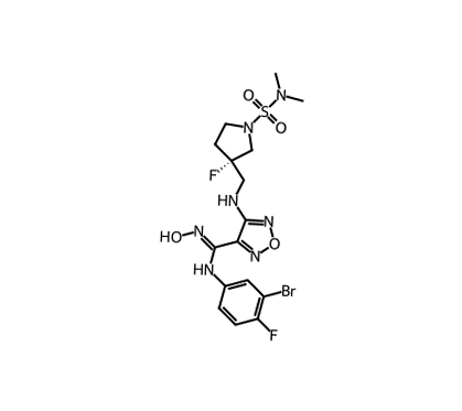 CN(C)S(=O)(=O)N1CC[C@](F)(CNc2nonc2/C(=N/O)Nc2ccc(F)c(Br)c2)C1